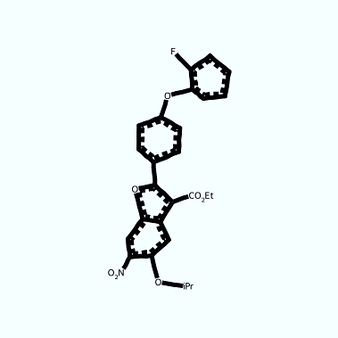 CCOC(=O)c1c(-c2ccc(Oc3ccccc3F)cc2)oc2cc([N+](=O)[O-])c(OC(C)C)cc12